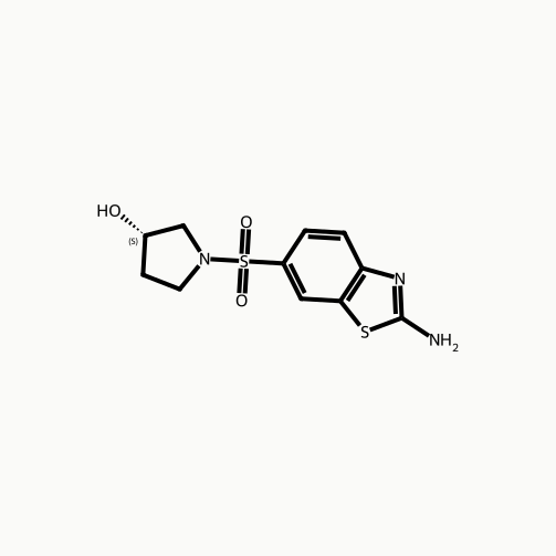 Nc1nc2ccc(S(=O)(=O)N3CC[C@H](O)C3)cc2s1